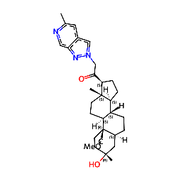 COC[C@]12CC[C@@](C)(O)C[C@@H]1CC[C@H]1[C@@H]3CC[C@H](C(=O)Cn4cc5cc(C)ncc5n4)[C@@]3(C)CC[C@@H]12